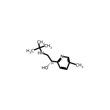 Cc1ccc([C@H](O)CNC(C)(C)C)nc1